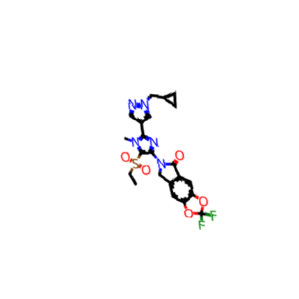 CCS(=O)(=O)c1c(N2Cc3cc4c(cc3C2=O)OC(F)(F)O4)nc(-c2cnn(CC3CC3)c2)n1C